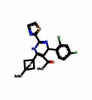 COC(=O)C1=C(C23CC(NC(C)=O)(C2)C3)NC(c2nccs2)=NC1c1ccc(F)cc1Cl